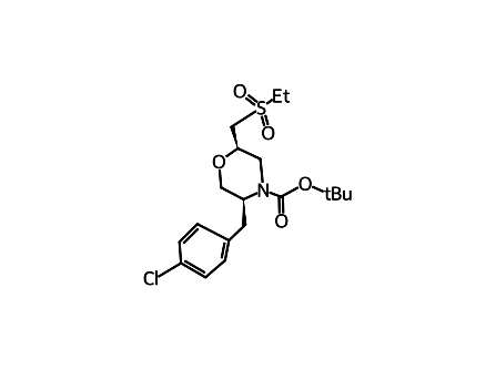 CCS(=O)(=O)C[C@H]1CN(C(=O)OC(C)(C)C)[C@@H](Cc2ccc(Cl)cc2)CO1